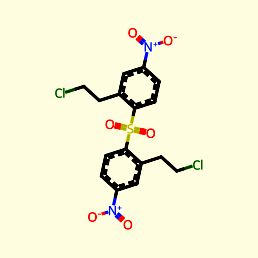 O=[N+]([O-])c1ccc(S(=O)(=O)c2ccc([N+](=O)[O-])cc2CCCl)c(CCCl)c1